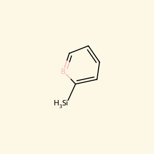 [SiH3]c1bcccc1